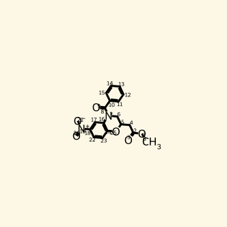 COC(=O)CC1CN(C(=O)c2ccccc2)c2cc([N+](=O)[O-])ccc2O1